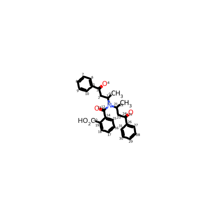 CC(CC(=O)c1ccccc1)N(C(=O)c1ccccc1C(=O)O)C(C)CC(=O)c1ccccc1